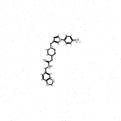 O=C(CC1CCN(Cc2ccn(-c3ccc(C(F)(F)F)cc3)c2)CC1)NCc1ccc2c(c1)OCO2